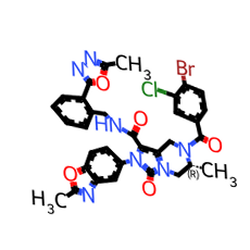 Cc1nnc(-c2ccccc2CNC(=O)c2c3n(c(=O)n2-c2ccc4oc(C)nc4c2)C[C@@H](C)N(C(=O)c2ccc(Br)c(Cl)c2)C3)o1